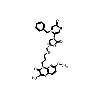 COc1ccc2nc(C)c(=O)n(CCCNC[C@@H]3CN(C4=CNC(=O)C=S4Cc4ccccc4)C(=O)O3)c2n1